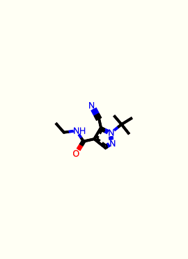 CCNC(=O)c1cnn(C(C)(C)C)c1C#N